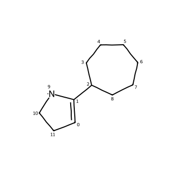 C1=C(C2CCCCCC2)[N]CC1